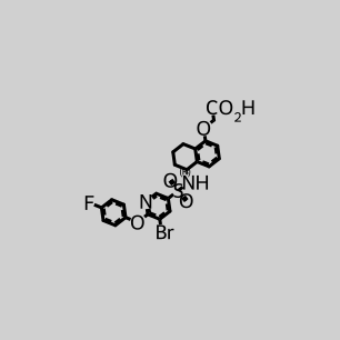 O=C(O)COc1cccc2c1CCC[C@H]2NS(=O)(=O)c1cnc(Oc2ccc(F)cc2)c(Br)c1